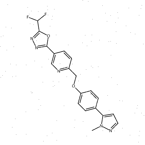 Cn1nccc1-c1ccc(OCc2ccc(-c3nnc(C(F)F)o3)cn2)cc1